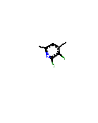 Cc1cc(C)c(F)c(Cl)n1